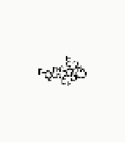 O=C(NCc1c(F)cc(F)cc1F)c1c2n3c(c(O)c1=O)C(=O)N1CCCC[C@]3(C[C@@H]2F)C1